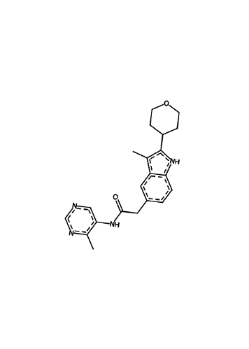 Cc1ncncc1NC(=O)Cc1ccc2[nH]c(C3CCOCC3)c(C)c2c1